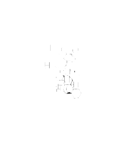 CC1CC(C[C@@H](C)[C@H]2CC[C@H]3[C@@H]4CC=C5CCCC[C@]5(C)[C@H]4CC[C@]23C)OC1=O